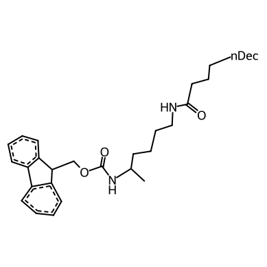 CCCCCCCCCCCCCC(=O)NCCCCC(C)NC(=O)OCC1c2ccccc2-c2ccccc21